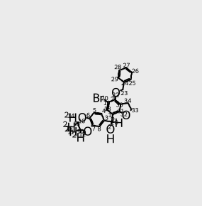 [2H]C(O)(c1ccc2c(c1)OC([2H])([2H])C([2H])([2H])O2)c1cc(Br)c(OCc2ccccc2)c2c1OCC2